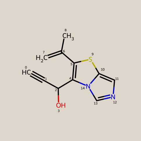 C#CC(O)c1c(C(=C)C)sc2cncn12